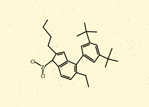 CCCCC1=Cc2c(ccc(CC)c2-c2cc(C(C)(C)C)cc(C(C)(C)C)c2)[CH]1[Zr]([Cl])[Cl]